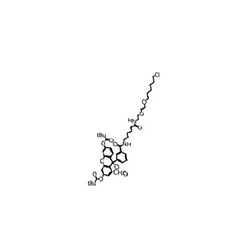 CC(C)(C)C(=O)Oc1ccc2c(c1)Oc1cc(OC(=O)C(C)(C)C)ccc1C2(OC=O)c1cccc(C(=O)NCCCCCC(=O)NCCOCCOCCCCCCCl)c1